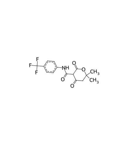 CC1(C)CC(=O)C(C(=O)Nc2ccc(C(F)(F)F)cc2)C(=O)O1